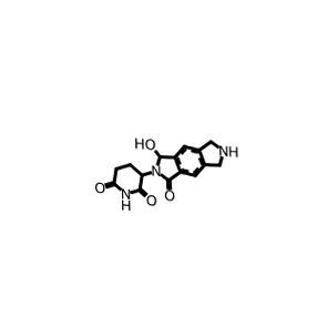 O=C1CCC(N2C(=O)c3cc4c(cc3C2O)CNC4)C(=O)N1